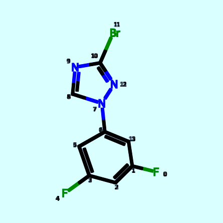 Fc1cc(F)cc(-n2cnc(Br)n2)c1